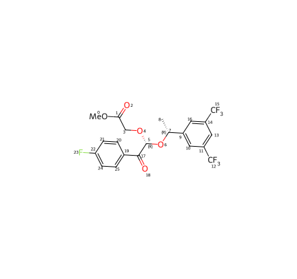 COC(=O)CO[C@H](O[C@H](C)c1cc(C(F)(F)F)cc(C(F)(F)F)c1)C(=O)c1ccc(F)cc1